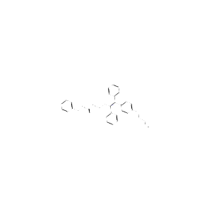 O=C(NCC/C(=C(\c1ccccc1)c1ccc(OCCO)cc1)c1ccccc1)NCc1ccccc1